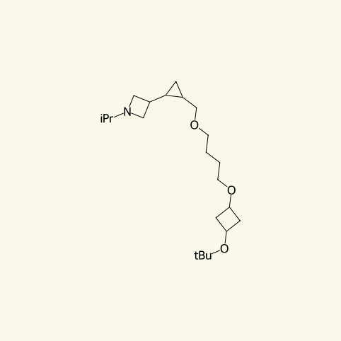 CC(C)N1CC(C2CC2COCCCCOC2CC(OC(C)(C)C)C2)C1